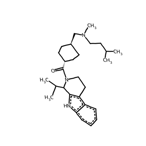 CC(C)CCN(C)C[C@H]1CC[C@H](C(=O)N2CCc3c([nH]c4ccccc34)C2C(C)C)CC1